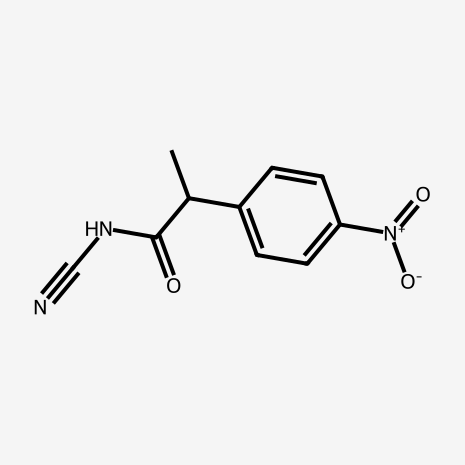 CC(C(=O)NC#N)c1ccc([N+](=O)[O-])cc1